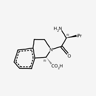 CC(C)[C@H](N)C(=O)N1CCc2ccccc2[C@H]1C(=O)O